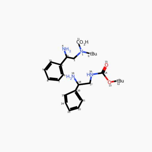 CC(C)(C)N(CC(N)c1ccccc1)C(=O)O.CC(C)(C)OC(=O)NCC(N)c1ccccc1